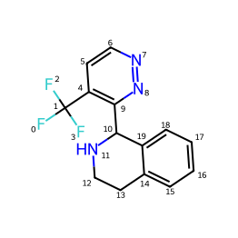 FC(F)(F)c1ccnnc1C1NCCc2ccccc21